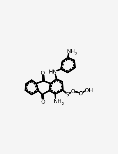 Nc1cccc(Nc2cc(SOOO)c(N)c3c2C(=O)c2ccccc2C3=O)c1